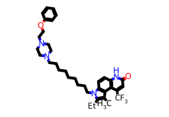 CCc1c(C)c2c3c(C(F)(F)F)cc(=O)[nH]c3ccc2n1CCCCCCCCCN1CCN(CCOc2ccccc2)CC1